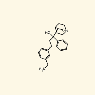 NCc1cccc(CCC(O)(c2ccccc2)C2CN3CCC2CC3)c1